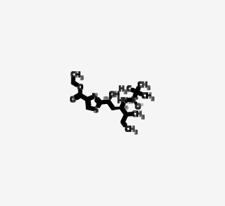 CCOC(=O)c1csc([C@H](O)C[C@@H](N[S@@+]([O-])C(C)(C)C)C(C)CC)n1